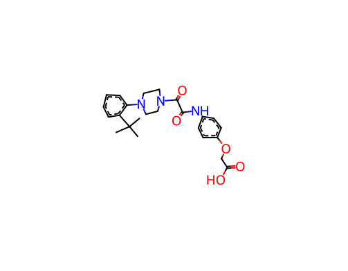 CC(C)(C)c1ccccc1N1CCN(C(=O)C(=O)Nc2ccc(OCC(=O)O)cc2)CC1